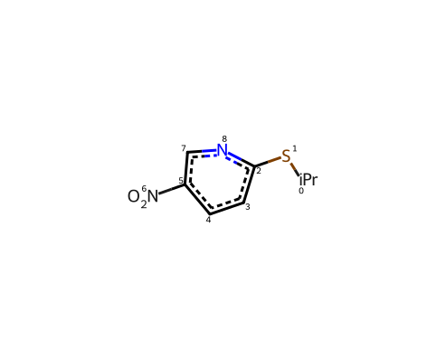 CC(C)Sc1ccc([N+](=O)[O-])cn1